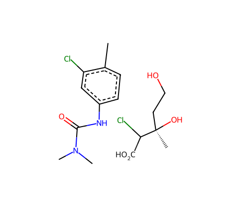 C[C@@](O)(CCO)C(Cl)C(=O)O.Cc1ccc(NC(=O)N(C)C)cc1Cl